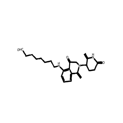 C=C1NC(=O)CCC1N1CC(=O)c2c(NCCCCCCCC=O)cccc2C1=C